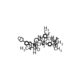 CCP(=O)(CC)c1ccc(-n2ccn(-c3c4c(nn3-c3cc(C)c(F)c(C)c3)CCN(C(=O)c3cc5cc(C6CCOCC6)ccc5n3C3(c5noc(=O)[nH]5)CC3C)C4C)c2=O)cc1NC(=O)C1CC1